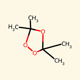 CC1(C)OOC(C)(C)O1